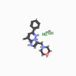 Cc1cc(-c2ccccc2)nn2c(CN3CCOCC3)cnc12.Cl.Cl